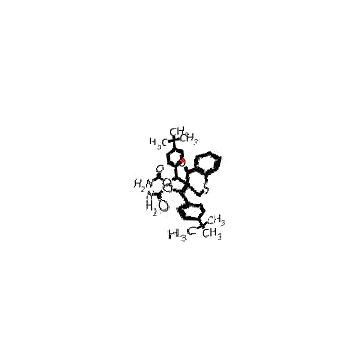 CC(C)(C)c1ccc(C(OC(N)=O)C2(C(OC(N)=O)c3ccc(C(C)(C)C)cc3)CSc3ccccc3C2=O)cc1